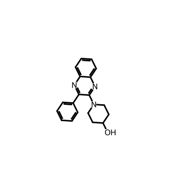 OC1CCN(c2nc3ccccc3nc2-c2ccccc2)CC1